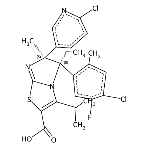 CC[C@]1(c2cc(F)c(Cl)cc2C)N2C(=N[C@@]1(C)c1ccc(Cl)nc1)SC(C(=O)O)=C2C(C)C